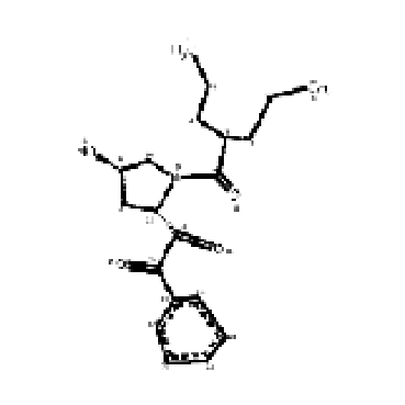 CCCC(CCC)C(=O)N1C[C@H](O)C[C@H]1C(=O)C(=O)c1ccccc1